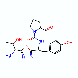 CC(O)C(N)c1nnc([C@H](Cc2ccc(O)cc2)NC(=O)N2CCCC2C=O)o1